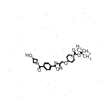 CC(C)(C)OC(=O)N1CCC(OCc2noc(-c3ccc(C(=O)N4CC(O)C4)cc3)n2)CC1